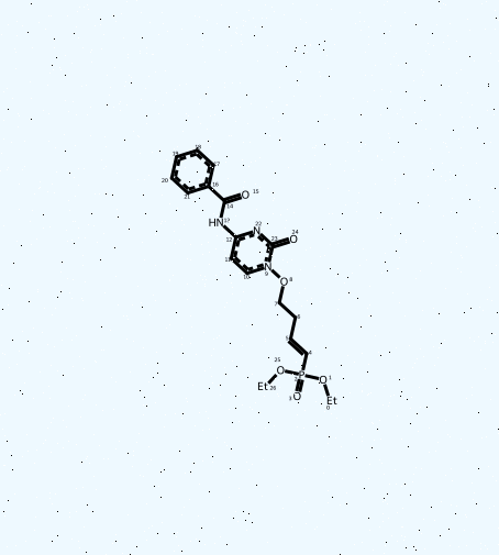 CCOP(=O)(/C=C/CCOn1ccc(NC(=O)c2ccccc2)nc1=O)OCC